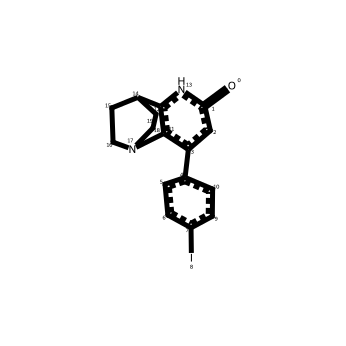 O=c1cc(-c2ccc(I)cc2)c2c([nH]1)C1CCN2CC1